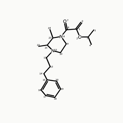 C=C(OC(C)C)C(=O)N1CCN(CCCc2ccccc2)C(C)C1C